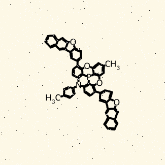 Cc1ccc(N2c3ccc(-c4ccc5oc6cc7ccccc7cc6c5c4)c4c3P3c5c(cc(C)cc5Oc5c(-c6ccc7oc8cc9ccccc9cc8c7c6)ccc2c53)O4)cc1